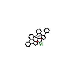 C1=Cc2c3c(c4ccccc4c2=C1)=CC=C[CH]3[Zr+2](=[C]1CCCC1)[CH]1C=CC=c2c1c1c(c3ccccc23)=CC=C1.[Cl-].[Cl-]